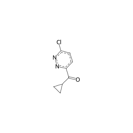 O=C(c1ccc(Cl)nn1)C1CC1